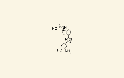 C[C@H](CO)N[C@H]1CCc2c(-c3noc(-c4ccc(O)c(N)c4)n3)cccc21